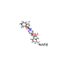 CNCCc1c[c]cc2c1CCC2CC1(O)CCN(C(=O)C[C@@H](C)c2ccccc2)CC1